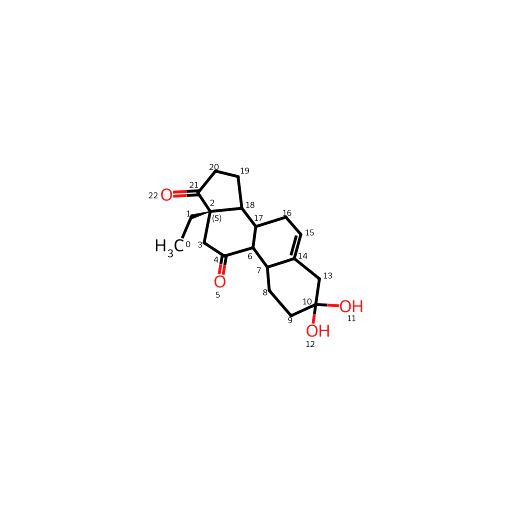 CC[C@]12CC(=O)C3C4CCC(O)(O)CC4=CCC3C1CCC2=O